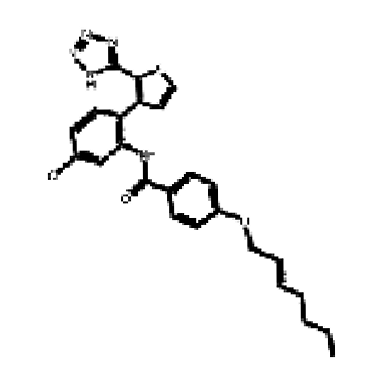 CCCC/C=C/COc1ccc(C(=O)Nc2cc(Cl)ccc2-c2ccsc2-c2nnn[nH]2)cc1